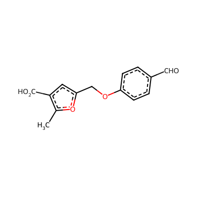 Cc1oc(COc2ccc(C=O)cc2)cc1C(=O)O